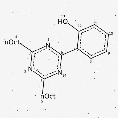 CCCCCCCCc1nc(CCCCCCCC)nc(-c2ccccc2O)n1